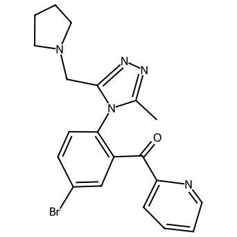 Cc1nnc(CN2CCCC2)n1-c1ccc(Br)cc1C(=O)c1ccccn1